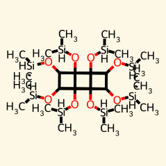 C[SiH](C)OC12C3(O[SiH](C)C)C4(O[SiH](C)C)C1(O[SiH](C)C)C1(O[SiH](C)C)C2(O[SiH](C)C)C3(O[SiH](C)C)C41O[SiH](C)C